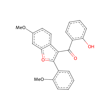 COc1ccc2c(C(=O)c3ccccc3O)c(-c3ccccc3OC)oc2c1